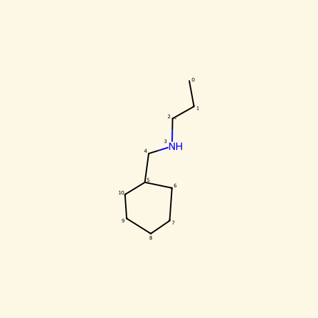 CC[CH]NCC1CCCCC1